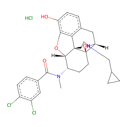 CN(C(=O)c1ccc(Cl)c(Cl)c1)[C@H]1CC[C@@]2(O)[C@H]3Cc4ccc(O)c5c4[C@@]2(CCN3CC2CC2)[C@H]1O5.Cl